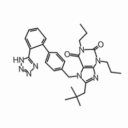 CCCn1c(=O)c2c(nc(CC(C)(C)C)n2Cc2ccc(-c3ccccc3-c3nnn[nH]3)cc2)n(CCC)c1=O